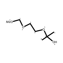 COCOCCOC(C)(C)O